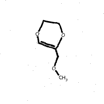 COCC1=[C]OCCO1